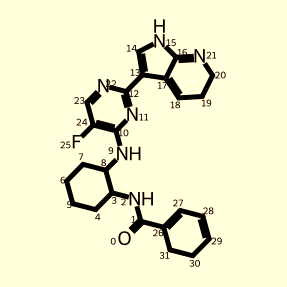 O=C(NC1CCCCC1Nc1nc(-c2c[nH]c3c2=CCCN=3)ncc1F)C1=CC=CCC1